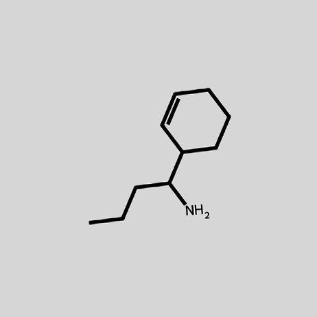 CCCC(N)C1C=CCCC1